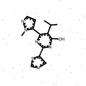 CC(C)c1c(O)nc(-c2cncs2)nc1-c1ccnn1C